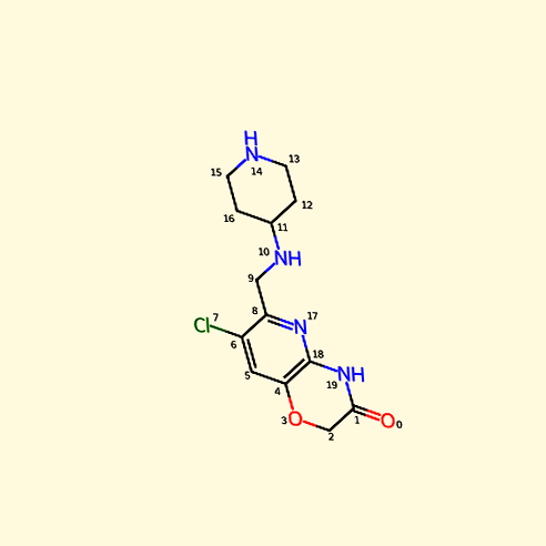 O=C1COc2cc(Cl)c(CNC3CCNCC3)nc2N1